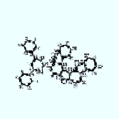 c1ccc(-c2cc(-c3ccccc3)nc(-c3cc4oc5ccc6c7ccccc7oc6c5c4c4c3oc3ccccc34)c2)cc1